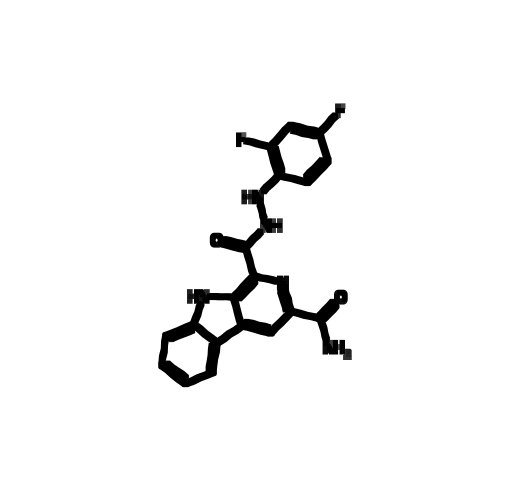 NC(=O)c1cc2c([nH]c3ccccc32)c(C(=O)NNc2ccc(F)cc2F)n1